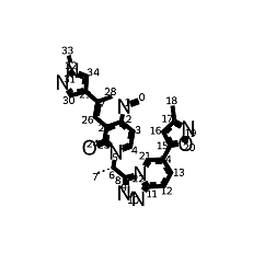 C=Nc1ccn([C@@H](C)c2nnc3ccc(-c4cc(C)no4)cn23)c(=O)c1/C=C(\C)c1cnn(C)c1